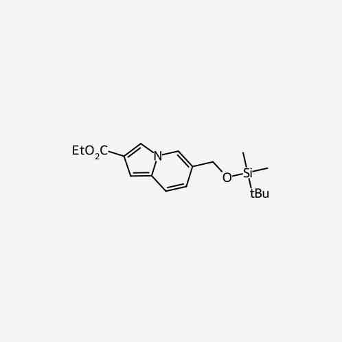 CCOC(=O)c1cc2ccc(CO[Si](C)(C)C(C)(C)C)cn2c1